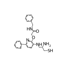 NC(CS)CNc1ccc(-c2ccccc2)nc1OCC(=O)NCc1ccccc1